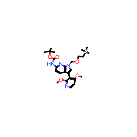 COc1ccnc(OC)c1-c1cn(COCC[Si](C)(C)C)c2nc(NC(=O)OC(C)(C)C)ccc12